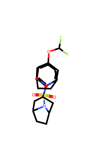 O=S(=O)(c1ccc(OC(F)F)cc1)N1C2CCC1CC(N1C3CCCC1CC3)C2